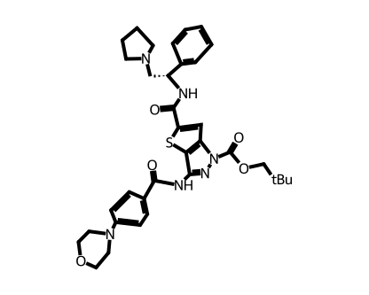 CC(C)(C)COC(=O)n1nc(NC(=O)c2ccc(N3CCOCC3)cc2)c2sc(C(=O)N[C@H](CN3CCCC3)c3ccccc3)cc21